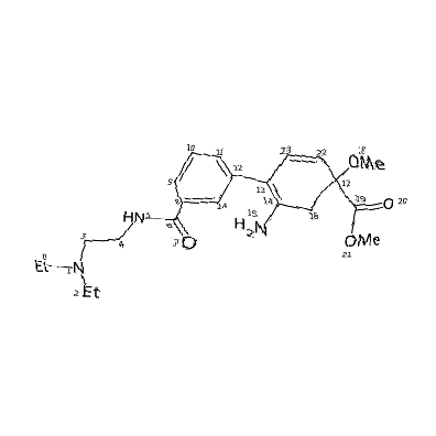 CCN(CC)CCNC(=O)c1cccc(C2=C(N)CC(OC)(C(=O)OC)C=C2)c1